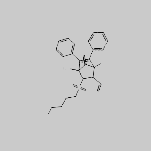 CCCCCS(=O)(=O)C1C(C=O)C2(C)C(=O)C1(C)C(c1ccccc1)=C2c1ccccc1